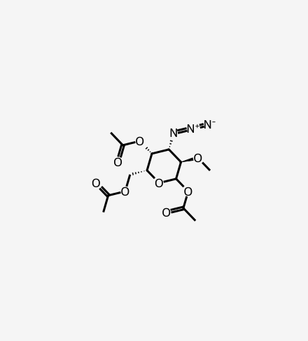 CO[C@H]1C(OC(C)=O)O[C@H](COC(C)=O)[C@H](OC(C)=O)[C@@H]1N=[N+]=[N-]